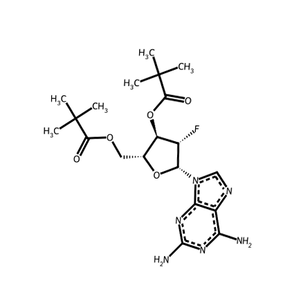 CC(C)(C)C(=O)OC[C@H]1O[C@@H](n2cnc3c(N)nc(N)nc32)[C@@H](F)[C@@H]1OC(=O)C(C)(C)C